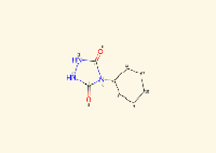 O=c1[nH][nH]c(=O)n1C1CCCCC1